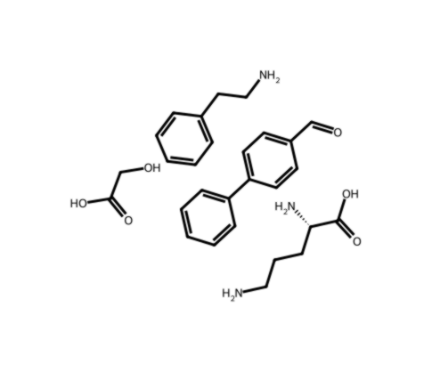 NCCC[C@H](N)C(=O)O.NCCc1ccccc1.O=C(O)CO.O=Cc1ccc(-c2ccccc2)cc1